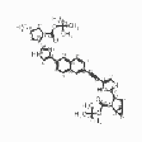 C[C@H]1C[C@@H](c2nc(-c3ccc4cc(C#Cc5cnc(C6CC7CC7N6C(=O)OC(C)(C)C)[nH]5)ccc4c3)c[nH]2)N(C(=O)OC(C)(C)C)C1